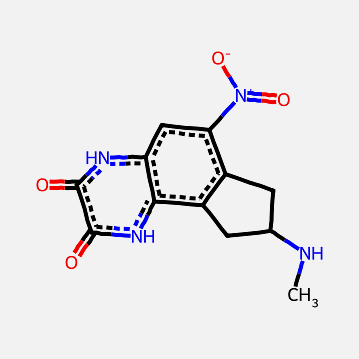 CNC1Cc2c([N+](=O)[O-])cc3[nH]c(=O)c(=O)[nH]c3c2C1